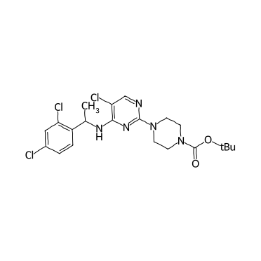 CC(Nc1nc(N2CCN(C(=O)OC(C)(C)C)CC2)ncc1Cl)c1ccc(Cl)cc1Cl